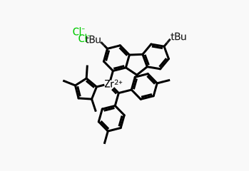 CC1=CC(C)[C]([Zr+2](=[C](c2ccc(C)cc2)c2ccc(C)cc2)[c]2cc(C(C)(C)C)cc3c2Cc2ccc(C(C)(C)C)cc2-3)=C1C.[Cl-].[Cl-]